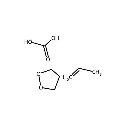 C1COOC1.C=CC.O=C(O)O